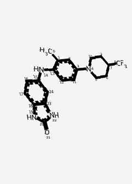 Cc1cc(N2CCC(C(F)(F)F)CC2)ccc1Nc1ccc2[nH]c(=O)[nH]c2c1